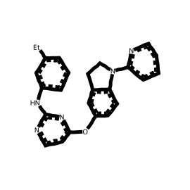 CCc1cccc(Nc2nccc(Oc3ccc4c(c3)CCN4c3ccccn3)n2)c1